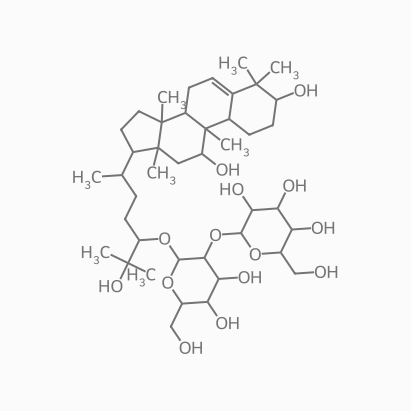 CC(CCC(OC1OC(CO)C(O)C(O)C1OC1OC(CO)C(O)C(O)C1O)C(C)(C)O)C1CCC2(C)C3CC=C4C(CCC(O)C4(C)C)C3(C)C(O)CC12C